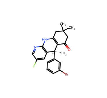 CC1(C)CC(=O)C2=C(C1)Nc1ncc(F)cc1[C@]2(C)c1cccc(Br)c1